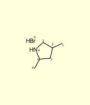 Br.CC1CNC(C)C1